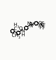 Cc1cccc(C)c1-c1cccc(C(=O)Nc2ccc(-c3ncn(-c4ccc(OC(F)(F)C(F)(F)F)cc4)n3)cc2)c1